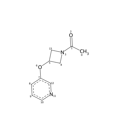 CC(=O)N1CC(Oc2cccnc2)C1